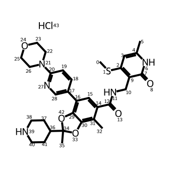 CSc1cc(C)[nH]c(=O)c1CNC(=O)c1cc(-c2ccc(N3CCOCC3)nc2)c2c(c1C)OC(C)(C1CCNCC1)O2.Cl